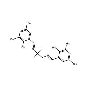 CC(C)(CN=Cc1cc(C(C)(C)C)cc(C(C)(C)C)c1O)N=Cc1cc(C(C)(C)C)cc(C(C)(C)C)c1O